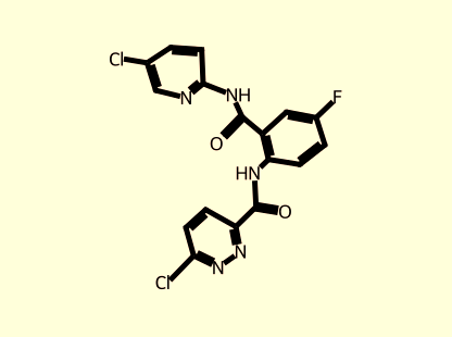 O=C(Nc1ccc(F)cc1C(=O)Nc1ccc(Cl)cn1)c1ccc(Cl)nn1